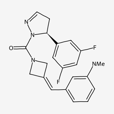 CNc1cccc(C=C2CN(C(=O)N3N=CC[C@H]3c3cc(F)cc(F)c3)C2)c1